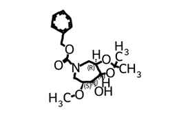 CO[C@H]1CN(C(=O)OCc2ccccc2)C[C@H]2OC(C)(C)O[C@@H]2[C@@H]1O